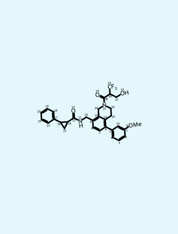 COc1cccc(-c2ccc(CNC(=O)C3CC3c3ccccc3)c3c2CCN(C(=O)C(CO)C(F)(F)F)C3)c1